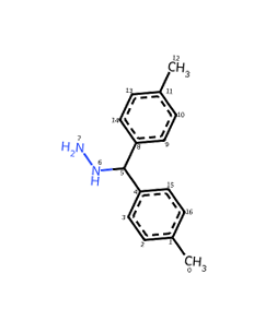 Cc1ccc(C(NN)c2ccc(C)cc2)cc1